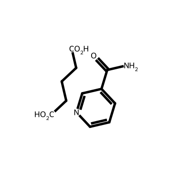 NC(=O)c1cccnc1.O=C(O)CCCC(=O)O